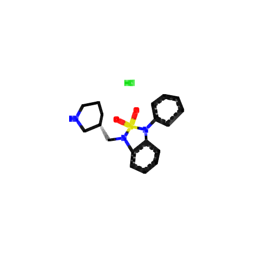 Cl.O=S1(=O)N(C[C@H]2CCCNC2)c2ccccc2N1c1ccccc1